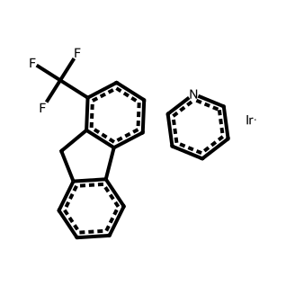 FC(F)(F)c1cccc2c1Cc1ccccc1-2.[Ir].c1ccncc1